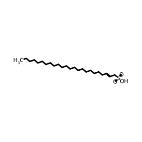 CCCCCCCCCCCCCCCCCCCCCC=CCS(=O)(=O)O